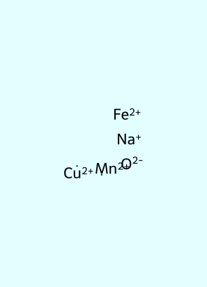 [Cu+2].[Fe+2].[Mn+2].[Na+].[O-2]